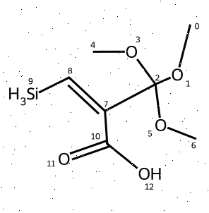 COC(OC)(OC)C(=C[SiH3])C(=O)O